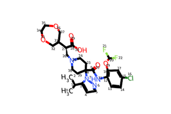 CC(C)c1ccnn1C1(C(=O)Nc2ccc(Cl)cc2OC(F)F)CCN(C[C@H](C(=O)O)C2COCCOC2)CC1